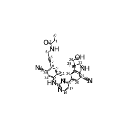 CCC(=O)NCC#Cc1cc(C)c(Nc2nccc(-c3cc(C#N)c4c(c3)[C@@](C)(CO)CN4)n2)cc1C#N